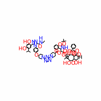 CCNC(=O)c1nnc(-c2cc(C(C)C)c(O)cc2O)n1-c1ccc(OC2CCN(c3ncnc(N4CCC(C(=O)O[C@@H](C(=O)O[C@H]5CC6(O)[C@@H](OC(=O)c7ccccc7)C7[C@](C)(C(=O)[C@H](O)C(=C5C)C6(C)C)[C@@H](O)C[C@H]5OC[C@@]75OC(C)=O)[C@@H](NC(=O)OC(C)(C)C)c5ccccc5)CC4)n3)CC2)cc1